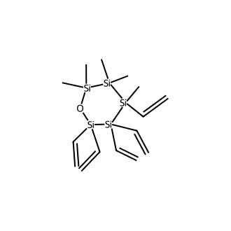 C=C[Si]1(C=C)O[Si](C)(C)[Si](C)(C)[Si](C)(C=C)[Si]1(C=C)C=C